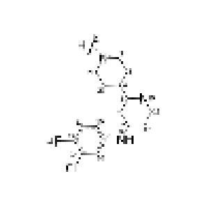 CN1CCC(C2CC(Nc3ccc(F)c(Cl)c3)CC[N]2)CC1